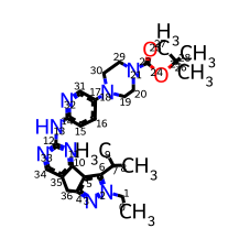 CCn1nc2c(c1C(C)C)-c1nc(Nc3ccc(N4CCN(C(=O)OC(C)(C)C)CC4)cn3)ncc1C2